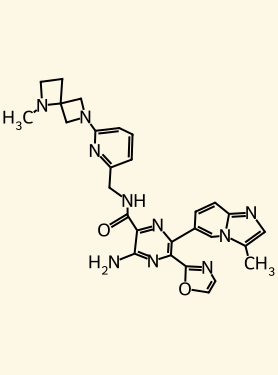 Cc1cnc2ccc(-c3nc(C(=O)NCc4cccc(N5CC6(CCN6C)C5)n4)c(N)nc3-c3ncco3)cn12